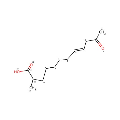 CC(=O)CC=CCCCCCC(C)C(=O)O